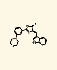 O=C1NC(c2cccc(N3CCOCC3)c2)=NC1=Cc1c[nH]c2ncccc12